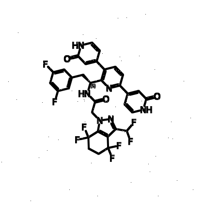 O=C(Cn1nc(C(F)F)c2c1C(F)(F)CCC2(F)F)N[C@@H](Cc1cc(F)cc(F)c1)c1nc(-c2cc[nH]c(=O)c2)ccc1-c1cc[nH]c(=O)c1